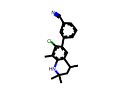 Cc1c(Cl)c(-c2cccc(C#N)c2)cc2c1NC(C)(C)CC2C